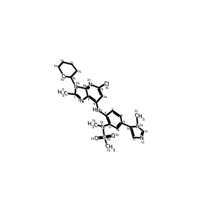 Cc1nc2c(Nc3ccc(-c4cncn4C)cc3N(C)S(C)(=O)=O)cc(Cl)nc2n1C1CCCCO1